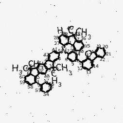 CC1(C)c2cc(N(c3ccc(-c4cccc5c4oc4ccccc45)cc3)c3cccc4c3-c3ccccc3C4(C)C)ccc2-c2cc3c(cc21)-c1c(-c2ccccc2)cccc1C3(C)C